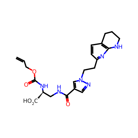 C=CCOC(=O)N[C@@H](CNC(=O)c1cnn(CCc2ccc3c(n2)NCCC3)c1)C(=O)O